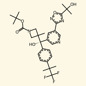 CC(C)(C)OC(=O)N1CC(C)([C@](O)(c2ccc(C(C)(C)C(F)(F)F)cc2)c2cncc(-c3noc(C(C)(C)O)n3)c2)C1